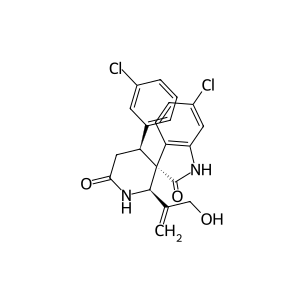 C=C(CO)[C@H]1NC(=O)C[C@@H](c2cccc(Cl)c2)[C@]12C(=O)Nc1cc(Cl)ccc12